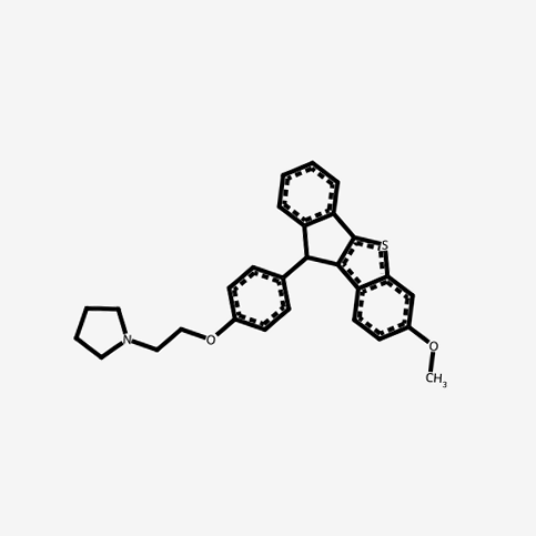 COc1ccc2c3c(sc2c1)-c1ccccc1C3c1ccc(OCCN2CCCC2)cc1